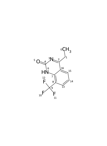 CCc1nc(=O)[nH]c2c(C(F)(F)F)cccc12